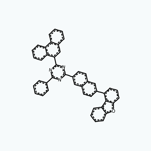 c1ccc(-c2nc(-c3ccc4cc(-c5cccc6oc7ccccc7c56)ccc4c3)nc(-c3cc4ccccc4c4ccccc34)n2)cc1